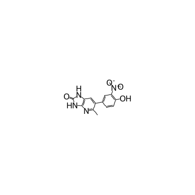 Cc1nc2[nH]c(=O)[nH]c2cc1-c1ccc(O)c([N+](=O)[O-])c1